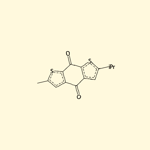 Cc1cc2c(s1)C(=O)c1sc(C(C)C)cc1C2=O